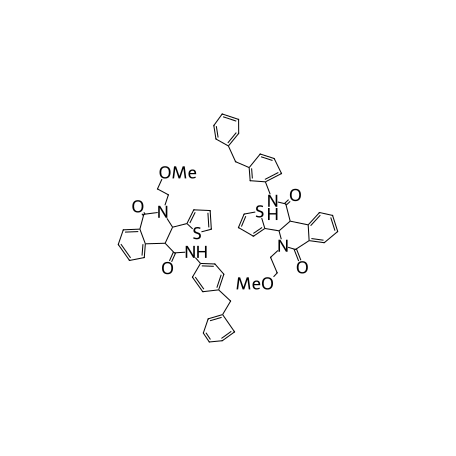 COCCN1C(=O)c2ccccc2C(C(=O)Nc2ccc(Cc3ccccc3)cc2)C1c1cccs1.COCCN1C(=O)c2ccccc2C(C(=O)Nc2cccc(Cc3ccccc3)c2)C1c1cccs1